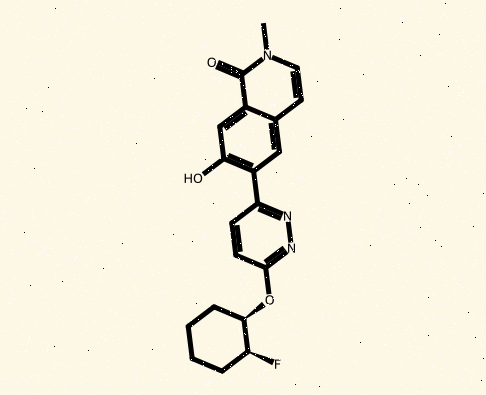 Cn1ccc2cc(-c3ccc(O[C@@H]4CCCC[C@@H]4F)nn3)c(O)cc2c1=O